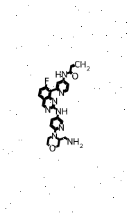 C=CC(=O)Nc1ccnc(-c2c(F)ccc3cnc(Nc4ccc(N5CCOCC5CN)nc4)nc23)c1